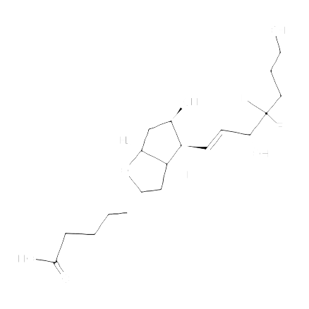 CCCCC(F)(F)[C@H](O)/C=C/[C@H]1[C@H]2C[C@H](CCCCC(=O)O)O[C@H]2C[C@H]1C